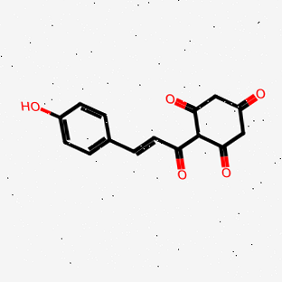 O=C1CC(=O)C(C(=O)/C=C/c2ccc(O)cc2)C(=O)C1